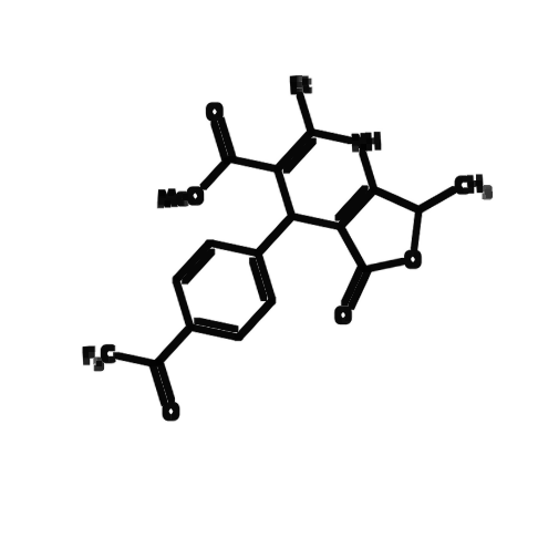 CCC1=C(C(=O)OC)C(c2ccc(C(=O)C(F)(F)F)cc2)C2=C(N1)C(C)OC2=O